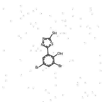 Oc1c(Br)cc(Br)cc1-c1nnc(S)s1